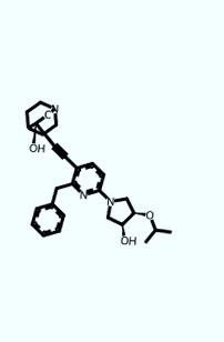 CC(C)O[C@@H]1CN(c2ccc(C#C[C@@]3(O)CN4CCC3CC4)c(Cc3ccccc3)n2)C[C@@H]1O